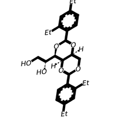 CCc1ccc(C2OC[C@@H]3OC(c4ccc(CC)cc4CC)O[C@H]([C@H](O)CO)[C@@H]3O2)c(CC)c1